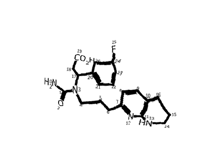 NC(=O)N(CCCc1ccc2c(n1)NCCC2)C(CC(=O)O)c1cccc(F)c1